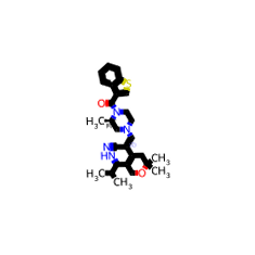 CC(C)C(=N)C1=C(/C(C#N)=C/N2CCN(C(=O)c3csc4ccccc34)[C@H](C)C2)CC(C)(C)OC1